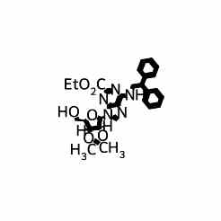 CCOC(=O)c1nc(NCC(c2ccccc2)c2ccccc2)c2ncn([C@@H]3O[C@H](CO)[C@H]4OC(C)(C)O[C@@H]43)c2n1